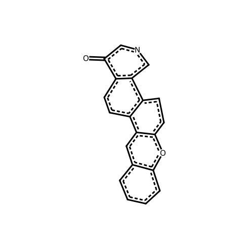 O=c1cncc2c1ccc1c3cc4ccccc4oc3ccc21